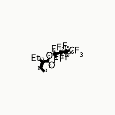 CC=C(CC)C(=O)OC(F)(F)C(F)(F)C(F)(F)C(F)(F)F